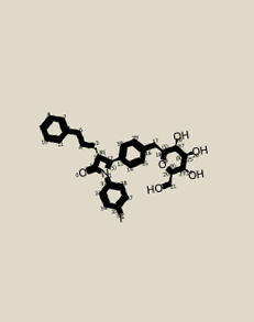 O=C1[C@H](CCCc2ccccc2)[C@@H](c2ccc(C[C@@H]3O[C@H](CO)[C@@H](O)[C@H](O)[C@H]3O)cc2)N1c1ccc(F)cc1